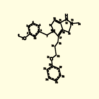 COc1cccc(CN2CC=C3NN(C)CC3=C2CCCOc2ccccc2)c1